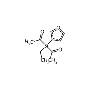 CC[Si](C(C)=O)(C(C)=O)c1ccoc1